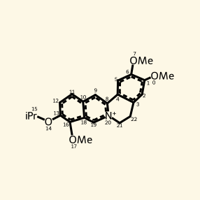 COc1cc2c(cc1OC)-c1cc3ccc(OC(C)C)c(OC)c3c[n+]1CC2